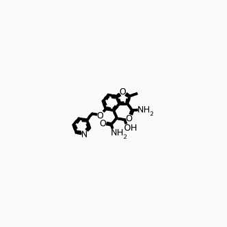 Cc1oc2ccc(OCc3cccnc3)c(C(CO)C(N)=O)c2c1C(N)=O